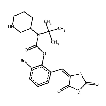 CC(C)(C)N(C(=O)Oc1c(Br)cccc1C=C1SC(=O)NC1=O)C1CCCNC1